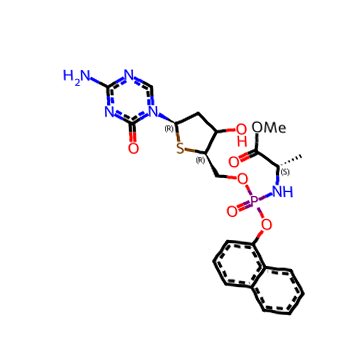 COC(=O)[C@H](C)NP(=O)(OC[C@H]1S[C@@H](n2cnc(N)nc2=O)CC1O)Oc1cccc2ccccc12